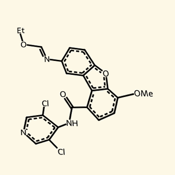 CCO/C=N/c1ccc2oc3c(OC)ccc(C(=O)Nc4c(Cl)cncc4Cl)c3c2c1